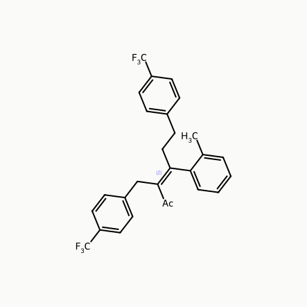 CC(=O)/C(Cc1ccc(C(F)(F)F)cc1)=C(/CCc1ccc(C(F)(F)F)cc1)c1ccccc1C